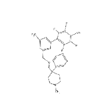 CN1CCC(COCc2cc(-c3c(F)c(F)c(C#N)c(F)c3F)cc(C(F)(F)F)c2)(c2ccccc2)CC1